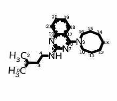 CC(C)CCNc1nc(N2CCCCCCC2)c2ccccc2n1